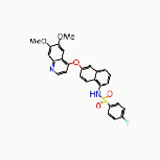 COc1cc2nccc(Oc3ccc4c(NS(=O)(=O)c5ccc(F)cc5)cccc4c3)c2cc1OC